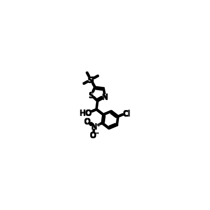 C[Si](C)(C)c1cnc(C(O)c2cc(Cl)ccc2[N+](=O)[O-])s1